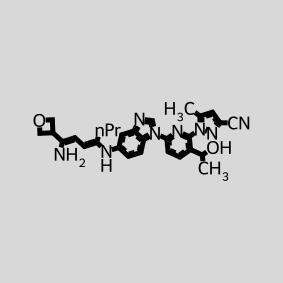 CCC/C(=C\C=C(/N)C1COC1)Nc1ccc2c(c1)ncn2-c1ccc(C(C)O)c(-n2nc(C#N)cc2C)n1